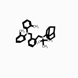 Cc1ccccc1P(Cc1ccccc1CP(C(C)(C)C)C12CC3CC(CC(C3)C1)C2)c1ccccc1C